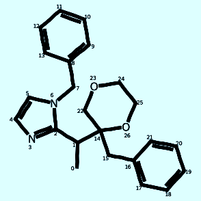 CC(c1nccn1Cc1ccccc1)C1(Cc2ccccc2)COCCO1